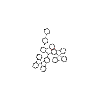 c1ccc(-c2ccc(-c3cccc(N(c4ccc5c(c4)C4(c6ccccc6-c6ccccc64)c4ccccc4-5)c4ccc5c(c4)C4(c6ccccc6-c6ccccc64)c4ccccc4-5)c3-c3ccccc3)cc2)cc1